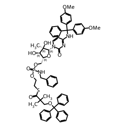 COc1ccc(C(Nc2ccn([C@@H]3O[C@H](COP(=O)(NCc4ccccc4)OCCSC(=O)C(C)(C)COC(c4ccccc4)(c4ccccc4)c4ccccc4)[C@@H](O)[C@@]3(C)O)c(=O)n2)(c2ccccc2)c2ccc(OC)cc2)cc1